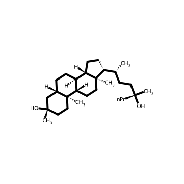 CCC[C@@](C)(O)CC[C@@H](C)[C@H]1CC[C@H]2[C@@H]3CC[C@H]4C[C@@](C)(O)CC[C@]4(C)[C@H]3CC[C@]12C